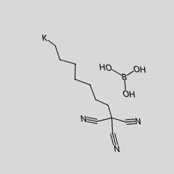 N#CC(C#N)(C#N)CCCCCC[CH2][K].OB(O)O